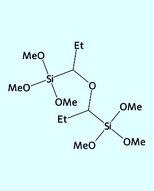 CCC(OC(CC)[Si](OC)(OC)OC)[Si](OC)(OC)OC